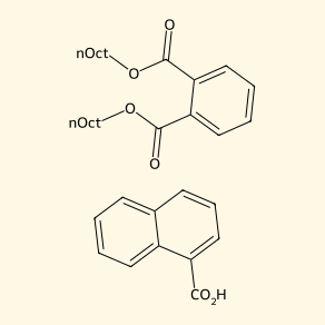 CCCCCCCCOC(=O)c1ccccc1C(=O)OCCCCCCCC.O=C(O)c1cccc2ccccc12